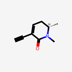 C#CC1=CC[C@H](C)N(C)C1=O